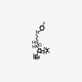 Cc1nc(-c2cc(NC(=O)NCCCCN(C)Cc3ccc(F)cc3)cc(-c3nnnn3C)c2)[nH]c1C